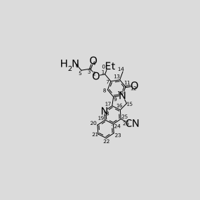 CCC(OC(=O)CN)c1cc2n(c(=O)c1C)Cc1c-2nc2ccccc2c1C#N